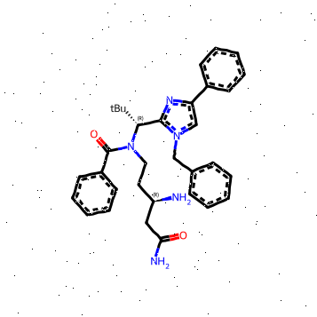 CC(C)(C)[C@H](c1nc(-c2ccccc2)cn1Cc1ccccc1)N(CC[C@@H](N)CC(N)=O)C(=O)c1ccccc1